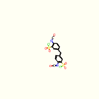 O=C=Nc1ccc(Cc2ccc(N=C=O)c(S(=O)(=O)Cl)c2)cc1S(=O)(=O)Cl